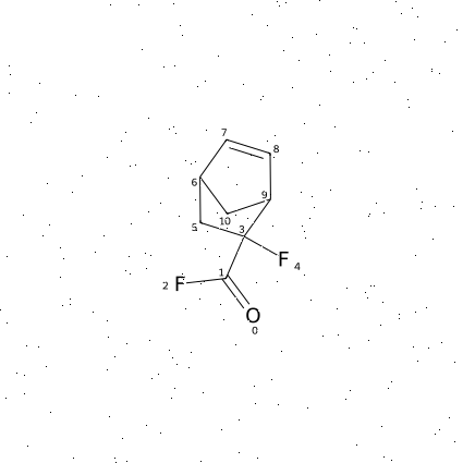 O=C(F)C1(F)CC2C=CC1C2